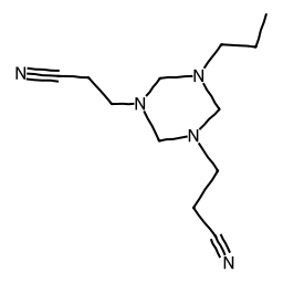 CCCN1CN(CCC#N)CN(CCC#N)C1